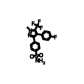 Cn1nc(-c2ccc(S(N)(=O)=O)cc2)c(-c2ccc(F)cc2)c1C(F)(F)F